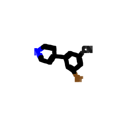 N#Cc1cc(Br)cc(-c2ccncc2)c1